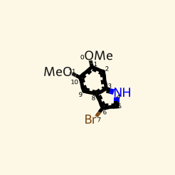 COc1cc2[nH]cc(Br)c2cc1OC